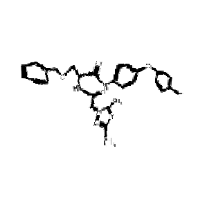 Cc1nc(C)n(CC(=O)NC(COCc2ccccc2)C(=O)Nc2ccc(Oc3ccc(F)cc3)cc2)n1